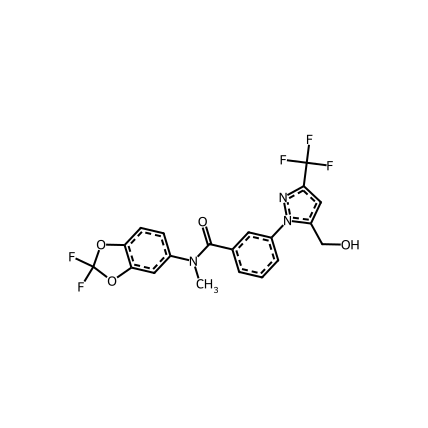 CN(C(=O)c1cccc(-n2nc(C(F)(F)F)cc2CO)c1)c1ccc2c(c1)OC(F)(F)O2